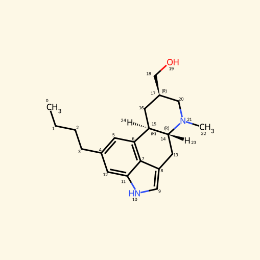 CCCCc1cc2c3c(c[nH]c3c1)C[C@@H]1[C@@H]2C[C@@H](CO)CN1C